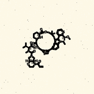 C=CC(=O)N1CCO[C@H]2CN(C(=O)N(C)[C@H](C(=O)N[C@H]3Cc4nc(cs4)-c4ccc5c(c4)c(c(-c4cccnc4[C@H](C)OC)n5CC)CC(C)(C)COC(=O)[C@@]4(O)CCCN(N4)C3=O)C(C)C)C[C@@H]21